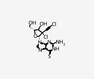 Nc1nc2c(ncn2[C@@H]2O[C@H](CO)C(O)[C@]2(Cl)C#CCl)c(=S)[nH]1